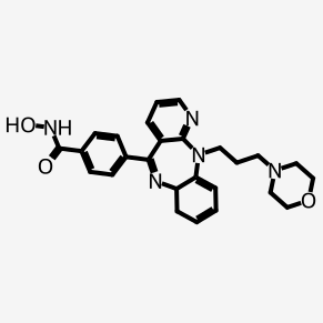 O=C(NO)c1ccc(C2=NC3CC=CC=C3N(CCCN3CCOCC3)c3ncccc32)cc1